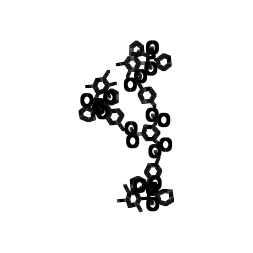 Cc1cc(C)c(C(=O)P(=O)(c2ccccc2)c2ccccc2)c(OC(=O)c2ccc(COC(=O)c3cc(C(=O)OCc4ccc(C(=O)Oc5c(C)c(C)cc(C)c5C(=O)P(=O)(c5ccccc5)c5ccccc5)cc4)cc(C(=O)OCc4ccc(C(=O)Oc5c(C)c(C)cc(C)c5C(=O)P(=O)(c5ccccc5)c5ccccc5)cc4)c3)cc2)c1C